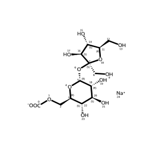 O=C([O-])OC[C@H]1O[C@H](O[C@]2(CO)O[C@H](CO)[C@@H](O)[C@@H]2O)[C@H](O)[C@@H](O)[C@@H]1O.[Na+]